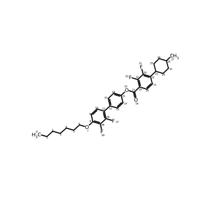 CCCCCCCOc1ccc(-c2ccc(OC(=O)c3ccc(C4CCC(C)CC4)c(F)c3F)cc2)c(F)c1F